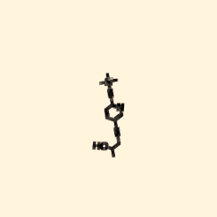 CC(O)CC#Cc1ccc(C#C[Si](C)(C)C)nc1